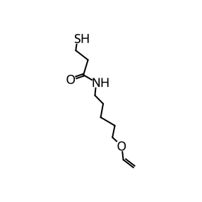 C=COCCCCCNC(=O)CCS